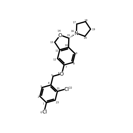 Clc1ccc(COc2ccc3c(c2)CO[C@@H]3N2CCCC2)c(Cl)c1